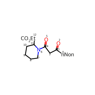 CCCCCCCCCC(=O)CC(=O)N1CCCCC1C(=O)OCC